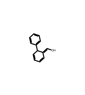 O/C=C1\C=CC=CC1c1cc[c]cc1